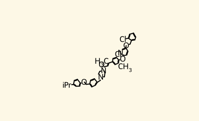 C/C(=C\C(=O)N1CCN(Cc2ccc(COc3ccc(C(C)C)cc3)cc2)CC1)c1cc(C)c(Oc2ccc(OCc3ccccc3Cl)cn2)c(Cl)c1